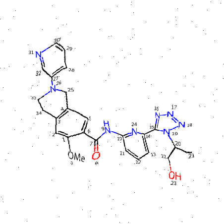 COc1cc2c(cc1C(=O)Nc1cccc(-c3nnnn3C(C)CO)n1)CN(c1cccnc1)CC2